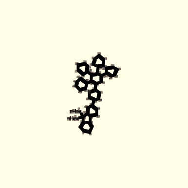 CCCCCCC1(CCCCCC)c2ccccc2-c2ccc(-c3ccc(-c4cc(-c5ccccc5)c(-c5ccccc5)c(-c5ccccc5)c4-c4ccccc4)nc3)cc21